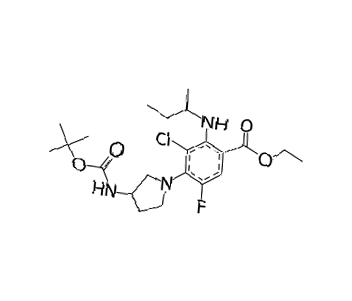 CCOC(=O)c1cc(F)c(N2CCC(NC(=O)OC(C)(C)C)C2)c(Cl)c1NC(C)CC